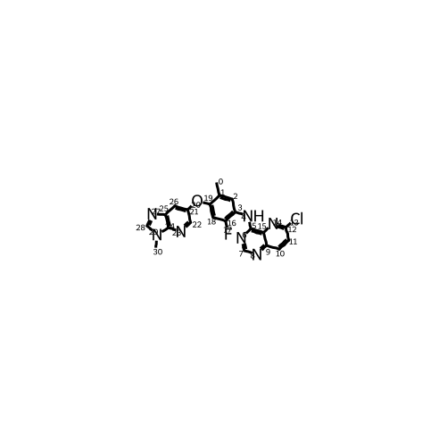 Cc1cc(Nc2ncnc3ccc(Cl)nc23)c(F)cc1Oc1cnc2c(c1)ncn2C